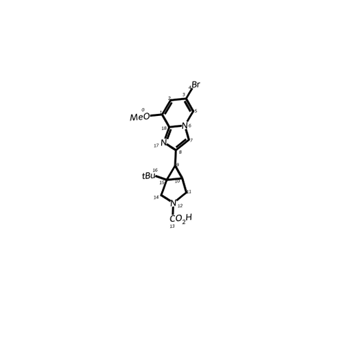 COc1cc(Br)cn2cc(C3C4CN(C(=O)O)CC43C(C)(C)C)nc12